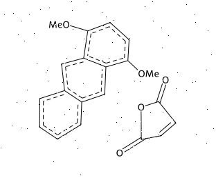 COc1ccc(OC)c2cc3ccccc3cc12.O=C1C=CC(=O)O1